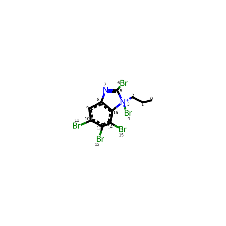 CCC[N+]1(Br)C(Br)=Nc2cc(Br)c(Br)c(Br)c21